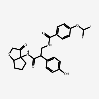 O=C(NCC(C(=O)NC12CCCC1OCC2=O)c1ccc(O)cc1)c1ccc(OC(F)F)cc1